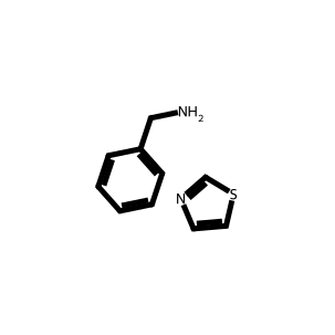 NCc1ccccc1.c1cscn1